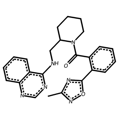 Cc1noc(-c2ccccc2C(=O)N2CCCCC2CNc2ncnc3ccccc23)n1